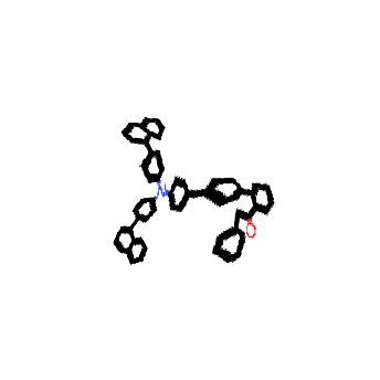 c1ccc(-c2cc3ccccc3o2)c(-c2ccc(-c3ccc(N(c4ccc(-c5cccc6ccccc56)cc4)c4ccc(-c5cccc6ccccc56)cc4)cc3)cc2)c1